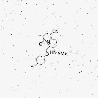 CCC1CCC(OCC2C(NSC)CCc3c(C#N)cc(C)c(=O)n32)CC1